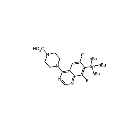 CCC[CH2][Sn]([CH2]CCC)([CH2]CCC)[c]1c(Cl)cc2c(N3CCN(C(=O)O)CC3)ncnc2c1F